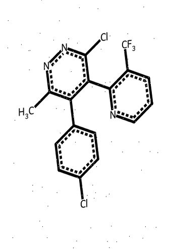 Cc1nnc(Cl)c(-c2ncccc2C(F)(F)F)c1-c1ccc(Cl)cc1